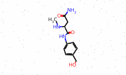 CNC(CC(N)=O)C(=O)Nc1ccc(CO)cc1